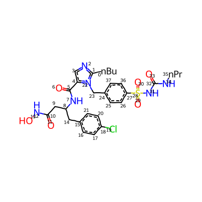 CCCCc1ncc(C(=O)NC(CC(=O)NO)Cc2ccc(Cl)cc2)n1Cc1ccc(S(=O)(=O)NC(=O)NCCC)cc1